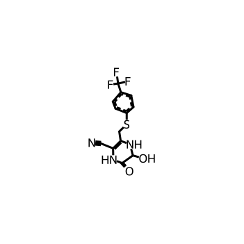 N#CC1=C(CSc2ccc(C(F)(F)F)cc2)NC(O)C(=O)N1